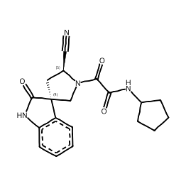 N#C[C@@H]1C[C@@]2(CN1C(=O)C(=O)NC1CCCC1)C(=O)Nc1ccccc12